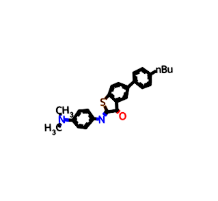 CCCCc1ccc(-c2ccc3c(c2)C(=O)C(=Nc2ccc(N(C)C)cc2)S3)cc1